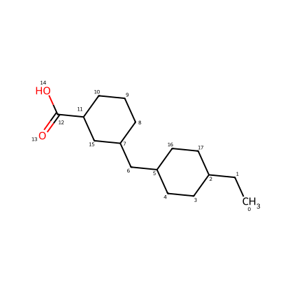 CCC1CCC(CC2CCCC(C(=O)O)C2)CC1